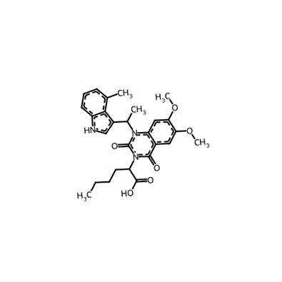 CCCCC(C(=O)O)n1c(=O)c2cc(OC)c(OC)cc2n(C(C)c2c[nH]c3cccc(C)c23)c1=O